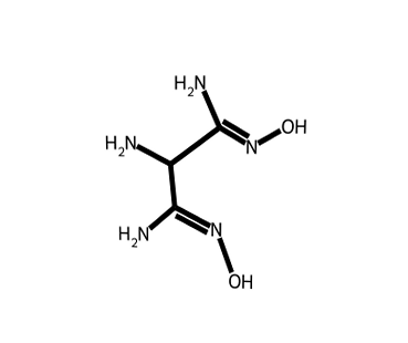 NC(=NO)C(N)C(N)=NO